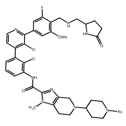 COc1cc(-c2nccc(-c3cccc(NC(=O)c4nc5c(n4C)CCN(C4CCN(C(C)=O)CC4)C5)c3Cl)c2Cl)cc(F)c1CNCC1CCC(=O)N1